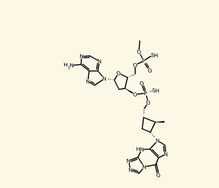 COP(=O)(S)OC[C@H]1O[C@@H](n2cnc3c(N)ncnc32)C[C@@H]1O[P@](=O)(S)OC[C@H]1C[C@@H](n2cnc3c(=O)n4cnnc4[nH]c32)[C@@H]1C